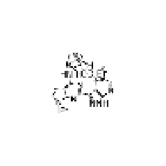 CCOC(=O)[C@H]1C2CCC(CC2)[C@H]1Nc1nc(-c2n[nH]c3ncc(Cl)cc23)nc2c1ccn2C(C)C